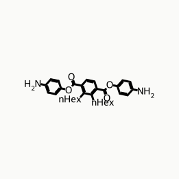 CCCCCCc1c(C(=O)Oc2ccc(N)cc2)ccc(C(=O)Oc2ccc(N)cc2)c1CCCCCC